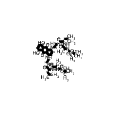 CC(C)C[C@H](NC(=O)[C@H](C)NC(=O)OC(C)(C)C)C(=O)NCCNc1ccc(NCCNC(=O)[C@H](CC(C)C)NC(=O)[C@H](C)NC(=O)OC(C)(C)C)c2c1C(=O)c1c(O)ccc(O)c1C2=O